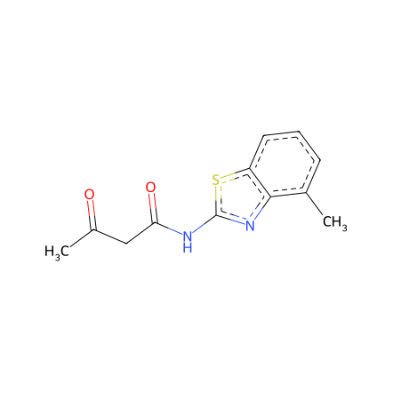 CC(=O)CC(=O)Nc1nc2c(C)cccc2s1